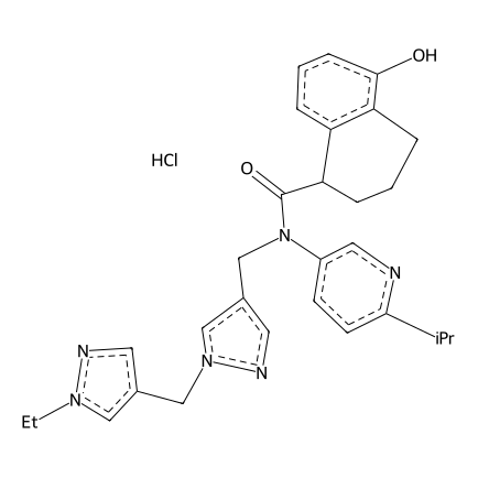 CCn1cc(Cn2cc(CN(C(=O)C3CCCc4c(O)cccc43)c3ccc(C(C)C)nc3)cn2)cn1.Cl